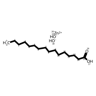 CCCCCCCCCCCCCCCC(=O)O.[OH-].[OH-].[Zn+2]